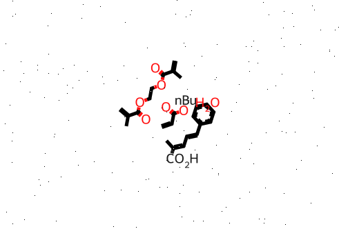 C=C(C)C(=O)OCCOC(=O)C(=C)C.C=CC(=O)OCCCC.CC(=CC=Cc1ccccc1)C(=O)O.O